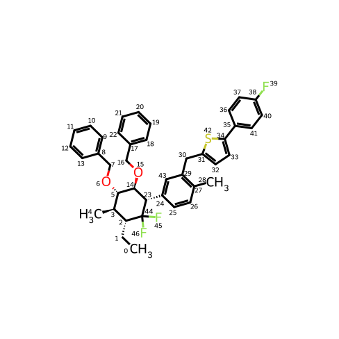 CC[C@@H]1[C@@H](C)[C@H](OCc2ccccc2)[C@@H](OCc2ccccc2)[C@H](c2ccc(C)c(Cc3ccc(-c4ccc(F)cc4)s3)c2)C1(F)F